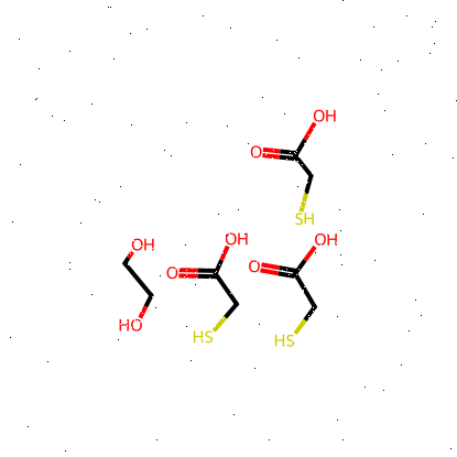 O=C(O)CS.O=C(O)CS.O=C(O)CS.OCCO